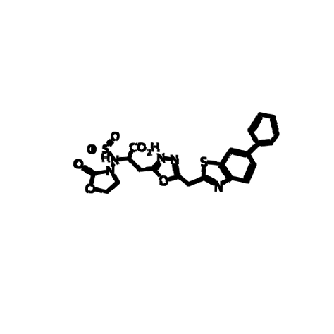 O=C(O)C(Cc1nnc(Cc2nc3ccc(-c4ccccc4)cc3s2)o1)N(N1CCOC1=O)[SH](=O)=O